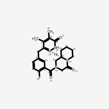 Cc1c(Cc2ccc(F)c(C(=O)N3CC(=O)N4CCCC[C@@H]4C3)c2)n[nH]c(=O)c1C